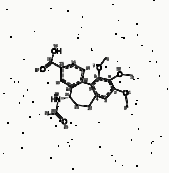 COc1cc2c(c(OC)c1OC)-c1ccc(C(=O)O)cc1[C@@H](NC(C)=O)CC2